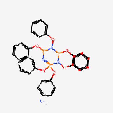 N.c1ccc(ON2P(Oc3ccccc3)N=P(Oc3ccccc3)(Oc3ccccc3)N(Oc3ccccc3)P2Oc2ccccc2)cc1